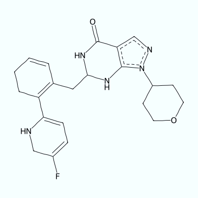 O=C1NC(CC2=C(C3=CC=C(F)CN3)CCC=C2)Nc2c1cnn2C1CCOCC1